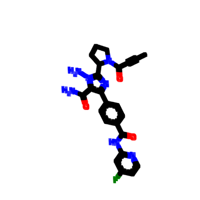 CC#CC(=O)N1CCCC1c1nc(-c2ccc(C(=O)Nc3cc(F)ccn3)cc2)c(C(N)=O)n1N